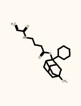 C=CC(=O)NCCCC(=O)OC1(C2CCCCC2)C2CC3CC1CC(C)(C3)C2